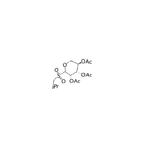 CC(=O)O[C@@H]1[C@H](OC(C)=O)C(S(=O)(=O)CC(C)C)OC[C@H]1OC(C)=O